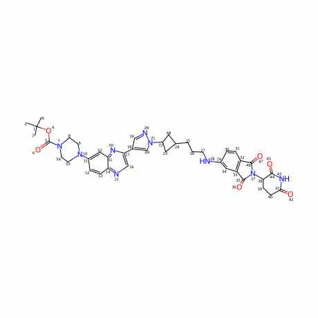 CC(C)(C)OC(=O)N1CCN(c2ccc3ncc(-c4cnn(C5CC(CCCNc6ccc7c(c6)C(=O)N(C6CCC(=O)NC6=O)C7=O)C5)c4)nc3c2)CC1